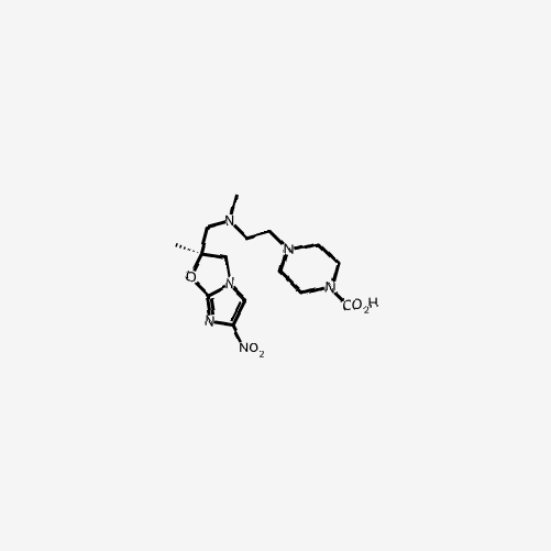 CN(CCN1CCN(C(=O)O)CC1)C[C@@]1(C)Cn2cc([N+](=O)[O-])nc2O1